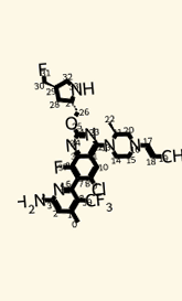 Cc1cc(N)nc(-c2c(Cl)cc3c(N4CCN(C=CC=O)C[C@@H]4C)nc(OC[C@@H]4C[C@@H](CF)CN4)nc3c2F)c1C(F)(F)F